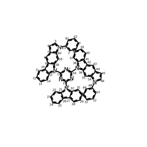 c1ccc(-n2ccc3cc4c5ccccc5n(-c5nc(-n6c7ccccc7c7ccccc76)nc(-n6c7ccccc7c7cc8ccn(-c9ccccc9)c8cc76)n5)c4cc32)cc1